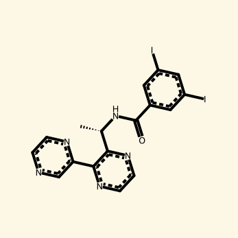 C[C@H](NC(=O)c1cc(I)cc(I)c1)c1nccnc1-c1cnccn1